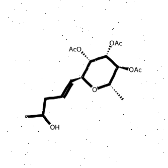 CC(=O)O[C@@H]1[C@@H](OC(C)=O)[C@H](C)O[C@@H](C=CCC(C)O)[C@@H]1OC(C)=O